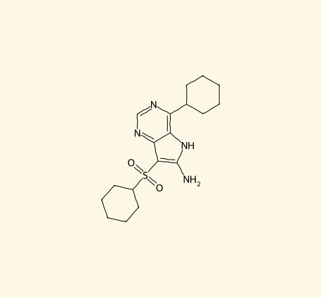 Nc1[nH]c2c(C3CCCCC3)ncnc2c1S(=O)(=O)C1CCCCC1